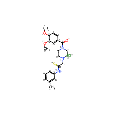 COc1ccc(C(=O)N2CCN(CC(=S)Nc3cccc(C)c3)CC2)cc1OC.Cl